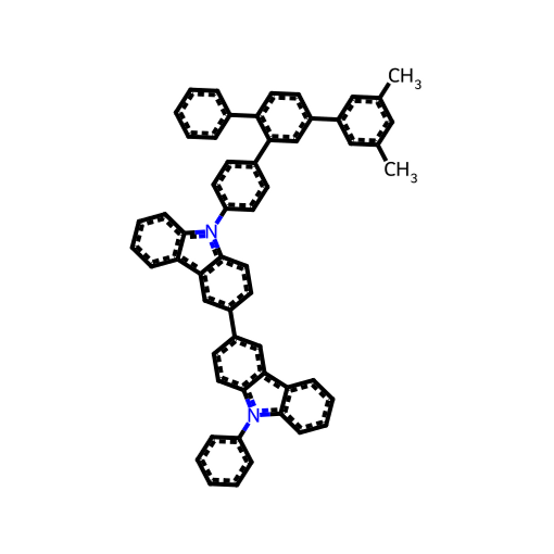 Cc1cc(C)cc(-c2ccc(-c3ccccc3)c(-c3ccc(-n4c5ccccc5c5cc(-c6ccc7c(c6)c6ccccc6n7-c6ccccc6)ccc54)cc3)c2)c1